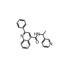 CC(NC(=O)c1cc(-c2ccccc2)nc2ccccc12)c1cccnc1